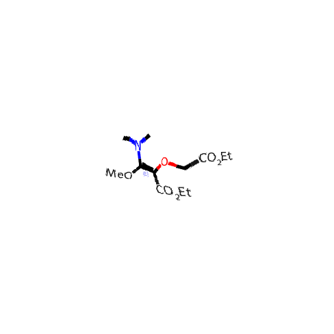 CCOC(=O)CO/C(C(=O)OCC)=C(/OC)N(C)C